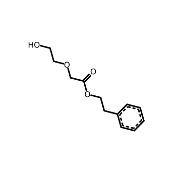 O=C(COCCO)OCCc1ccccc1